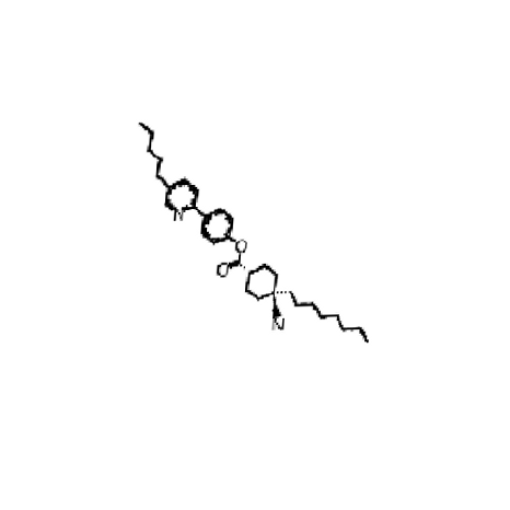 CCCCCCCC[C@]1(C#N)CC[C@H](C(=O)Oc2ccc(-c3ccc(CCCCC)cn3)cc2)CC1